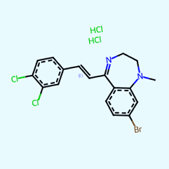 CN1CCN=C(/C=C/c2ccc(Cl)c(Cl)c2)c2ccc(Br)cc21.Cl.Cl